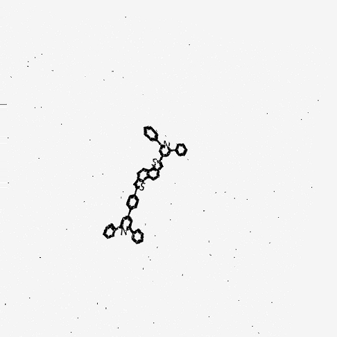 c1ccc(-c2cc(-c3ccc(-c4cc5ccc6c(ccc7cc(-c8cc(-c9ccccc9)nc(-c9ccccc9)c8)sc76)c5s4)cc3)cc(-c3ccccc3)n2)cc1